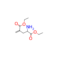 C=C(CC(N)C(=O)OCC)C(=O)OCC